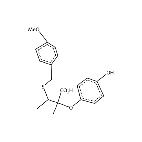 COc1ccc(CSC(C)C(C)(Oc2ccc(O)cc2)C(=O)O)cc1